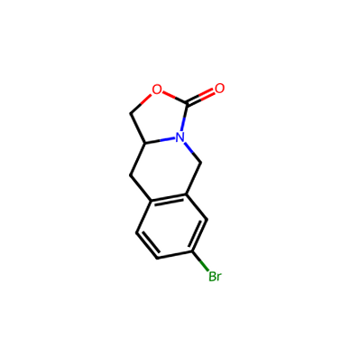 O=C1OCC2Cc3ccc(Br)cc3CN12